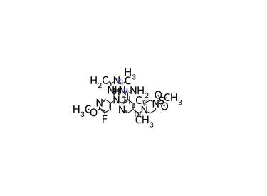 C=C(N)/N=C(C)\N=C(/N)c1cc([C@H](C)N2CCN(S(C)(=O)=O)C[C@H]2C)cnc1Nc1cnc(OC)c(F)c1